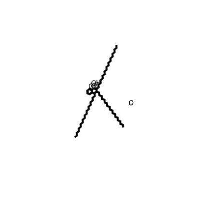 C=O.CCCCCCCCCCCCCCCCCCCCc1c(CCCCCCCCCCCCCCCCCCCC)c(S(=O)(=O)O)c2ccccc2c1CCCCCCCCCCCCCCCCCCCC